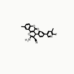 Cc1ccc2oc(=O)c3c(c2c1)OC(N)=C(C#N)C3c1ccc(-c2cnc(F)c(C)c2)cc1